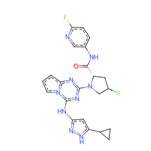 O=C(Nc1ccc(F)nc1)[C@@H]1C[C@@H](F)CN1c1nc(Nc2cc(C3CC3)[nH]n2)n2cccc2n1